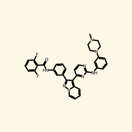 CN1CCN(c2cccc(Nc3nccc(-c4c(-c5cccc(NC(=O)c6c(F)cccc6F)c5)nn5ccccc45)n3)c2)CC1